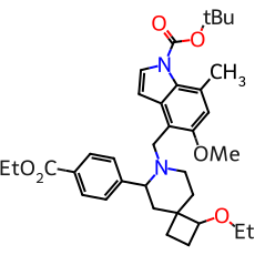 CCOC(=O)c1ccc(C2CC3(CCC3OCC)CCN2Cc2c(OC)cc(C)c3c2ccn3C(=O)OC(C)(C)C)cc1